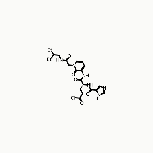 CCC(CC)CNC(=O)Cn1cccc(NC(=O)[C@H](CCC(=O)Cl)NC(=O)c2cncn2C)c1=O